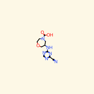 N#Cc1ncnc(NC2COCCN(C(=O)O)C2)n1